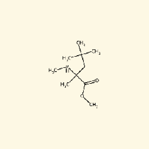 COC(=O)C(C)(CC(C)(C)C)PC